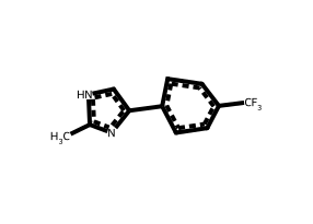 Cc1nc(-c2ccc(C(F)(F)F)cc2)c[nH]1